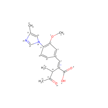 COc1cc(/C=C(/C(=O)O)C(C)C(C)=O)ccc1-n1cnc(C)c1